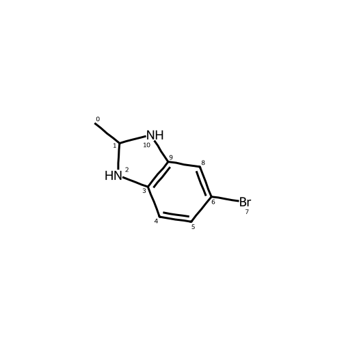 CC1Nc2ccc(Br)cc2N1